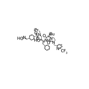 CC[C@H](C)[C@@H](C(=O)N[C@@H](Cc1ccccc1)[C@@H](O)CN(CC(C)C)S(=O)(=O)c1ccc(C=NO)cc1)N1CCN(Cc2csc(C(F)(F)F)n2)C1=O